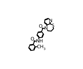 Cc1ccccc1C(=O)Nc1ccc(C(=O)N2CCCSc3ncccc32)cc1